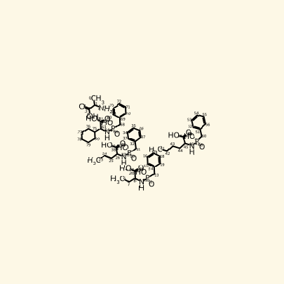 CC(N)C(=O)O.CCC(NP(=O)(O)Cc1ccccc1)C(=O)O.CCCC(NP(=O)(O)Cc1ccccc1)C(=O)O.CCCCC(NP(=O)(O)Cc1ccccc1)C(=O)O.O=C(O)C(NP(=O)(O)Cc1ccccc1)C1CCCCC1